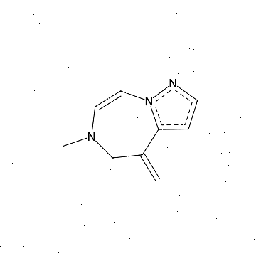 C=C1CN(C)C=Cn2nccc21